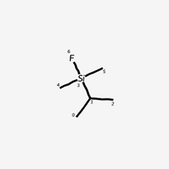 CC(C)[Si](C)(C)F